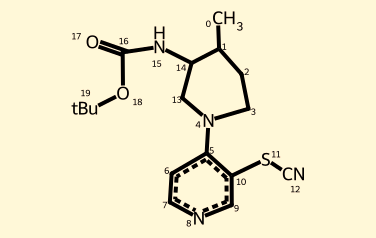 CC1CCN(c2ccncc2SC#N)CC1NC(=O)OC(C)(C)C